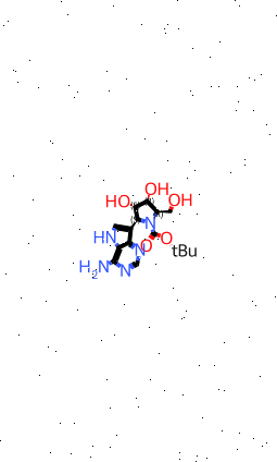 CC(C)(C)OC(=O)N1[C@H](CO)[C@@H](O)[C@@H](O)[C@@H]1c1c[nH]c2c(N)ncnc12